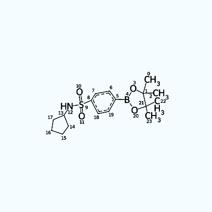 CC1(C)OB(c2ccc(S(=O)(=O)NC3CCCC3)cc2)OC1(C)C